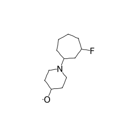 [O]C1CCN(C2CCCCC(F)C2)CC1